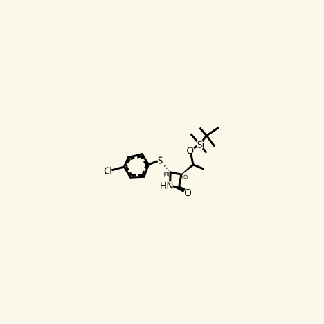 CC(O[Si](C)(C)C(C)(C)C)[C@H]1C(=O)N[C@@H]1Sc1ccc(Cl)cc1